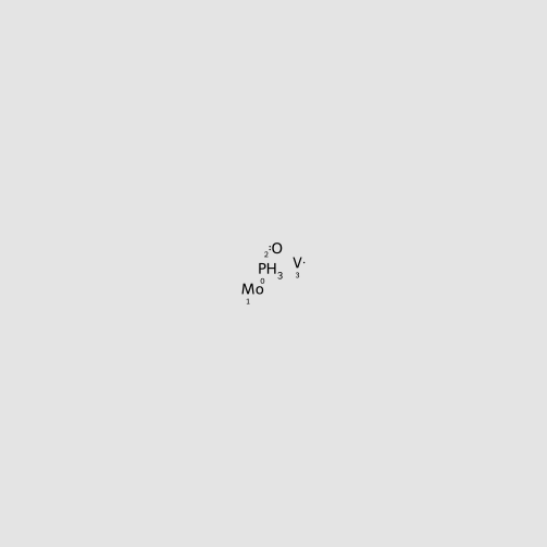 P.[Mo].[O].[V]